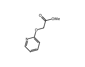 COC(=O)COc1cc[c]cn1